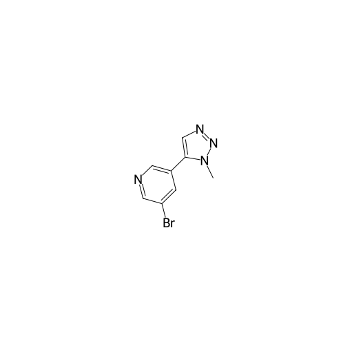 Cn1nncc1-c1cncc(Br)c1